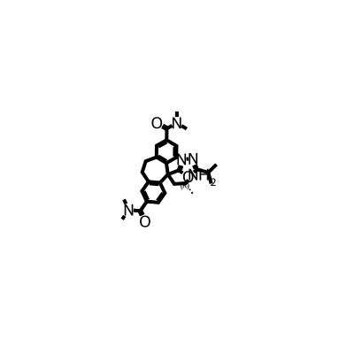 CC(C)c1nnc(C2(C[C@@H](C)N)c3ccc(C(=O)N(C)C)cc3CCc3cc(C(=O)N(C)C)ccc32)o1